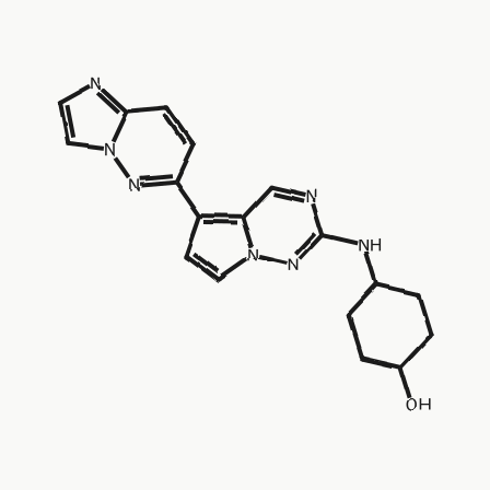 OC1CCC(Nc2ncc3c(-c4ccc5nccn5n4)ccn3n2)CC1